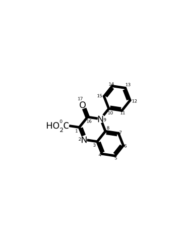 O=C(O)c1nc2ccccc2n(-c2ccccc2)c1=O